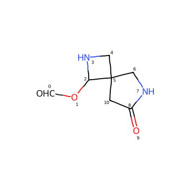 O=COC1NCC12CNC(=O)C2